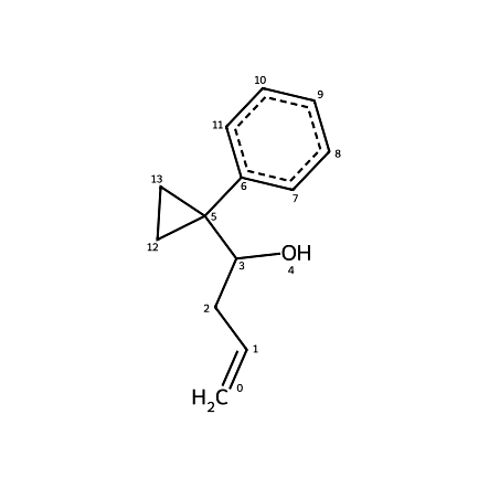 C=CCC(O)C1(c2ccccc2)CC1